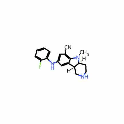 CN1c2c(C#N)cc(Nc3ccccc3F)cc2[C@@H]2CNCC[C@@H]21